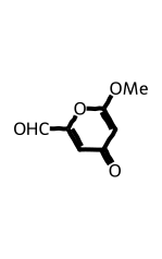 COc1cc(=O)cc(C=O)o1